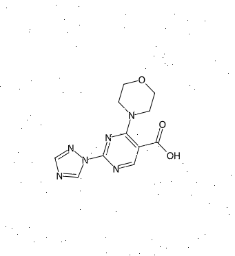 O=C(O)c1cnc(-n2cncn2)nc1N1CCOCC1